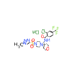 Cl.Cn1cc(S(=O)(=O)N2CCN(C3(CNC(=O)c4ccc(C(F)(F)F)cc4Cl)CCOCC3)CC2)nn1